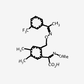 CON=C(C(=O)O)c1cc(C)c(C)cc1CON=C(C)c1cccc(C(F)(F)F)c1